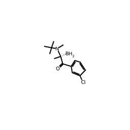 B[C@@](C)(C(=O)c1cccc(Cl)c1)N(C)C(C)(C)C